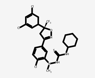 CN(NC(=S)NC1CCCCC1)c1cc(C2=NO[C@](C3C=C(Cl)C=C(Cl)C3)(C(F)(F)F)C2)ccc1Cl